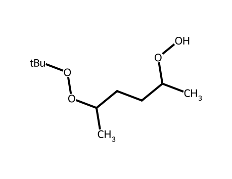 CC(CCC(C)OOC(C)(C)C)OO